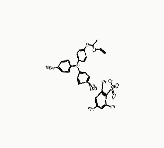 C=COC(C)Oc1ccc([S+](c2ccc(C(C)(C)C)cc2)c2ccc(C(C)(C)C)cc2)cc1.CC(C)c1cc(C(C)C)c(S(=O)(=O)[O-])c(C(C)C)c1